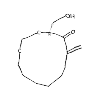 C=C1CCCCCCCCC[C@H](CO)C1=O